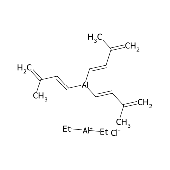 C=C(C)C=[CH][Al]([CH]=CC(=C)C)[CH]=CC(=C)C.C[CH2][Al+][CH2]C.[Cl-]